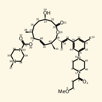 COCCC(=O)N1CCN(c2cc(F)cc(/C=C(\C)[C@H]3OC(=O)C[C@H](O)CC[C@H](C)[C@@H](OC(=O)N4CCN(C)CC4)/C=C/[C@@H]3C)c2)CC1